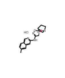 Cc1ccc2cnc(NC3=NO[C@@]4(C3)CN3CCC4CC3)cc2c1.Cl